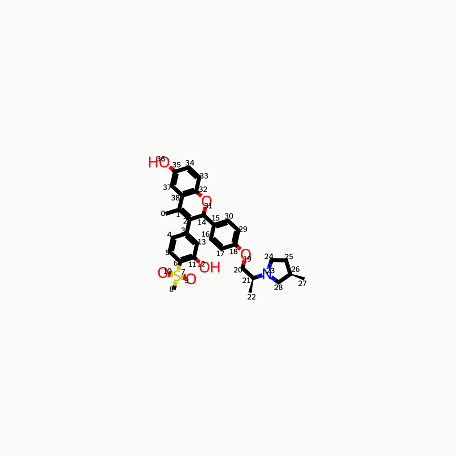 CC1=C(c2ccc(S(C)(=O)=O)c(O)c2)C(c2ccc(OC[C@H](C)N3CC[C@@H](C)C3)cc2)Oc2ccc(O)cc21